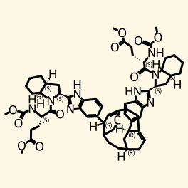 COC(=O)CC[C@H](NC(=O)OC)C(=O)N1[C@H](c2nc3cc([C@@H]4C[C@H]5CC=C4CCC4=C[C@@H](c6ccc7[nH]c([C@@H]8C[C@@H]9CCCC[C@@H]9N8C(=O)[C@H](CCC(=O)OC)NC(=O)OC)nc7c6)C(CC4)CC5)ccc3[nH]2)C[C@@H]2CCCC[C@@H]21